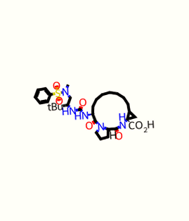 CN(CC(NC(=O)N[C@H]1CCCCCCCC2C[C@@]2(C(=O)O)NC(=O)[C@@H]2CCCN2C1=O)C(C)(C)C)S(=O)(=O)c1ccccc1